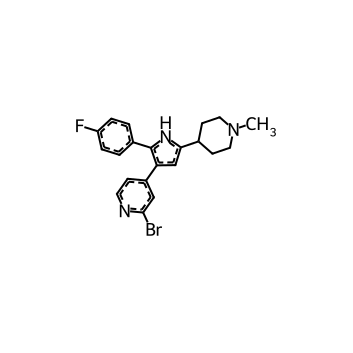 CN1CCC(c2cc(-c3ccnc(Br)c3)c(-c3ccc(F)cc3)[nH]2)CC1